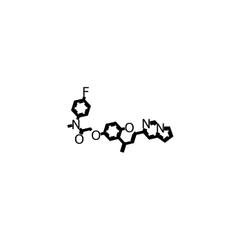 C=C1C=C(c2cc3cccn3cn2)Oc2ccc(OCC(=O)N(C)c3ccc(F)cc3)cc21